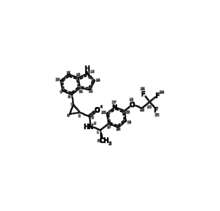 C[C@@H](NC(=O)C1CC1c1cccc2[nH]ccc12)c1ccc(OCC(F)(F)F)nc1